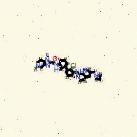 Cc1c(NC(=O)c2nc3c(n2C)CCN(C)C3)cccc1-c1cccc(Nc2nccc3cc(CN4CCC4)cnc23)c1Cl